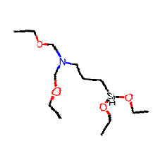 CCOCN(CCC[SiH](OCC)OCC)COCC